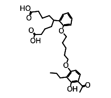 CCCc1c(OCCCCCOc2ccccc2C(CCCC(=O)O)CCCC(=O)O)ccc(C(C)=O)c1O